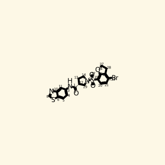 O=C(Nc1ccc2scnc2c1)[C@@H]1CCN(S(=O)(=O)c2ccc(Br)c3c2OCC3)C1